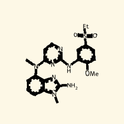 CCS(=O)(=O)c1ccc(OC)c(Nc2nccc(N(C)c3cccc4c3nc(N)n4C)n2)c1